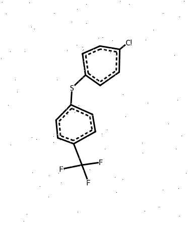 FC(F)(F)c1ccc(Sc2ccc(Cl)cc2)cc1